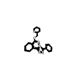 c1ccc(-c2nnc3c4c(c(OCc5ccccn5)nn23)CCCC4)cc1